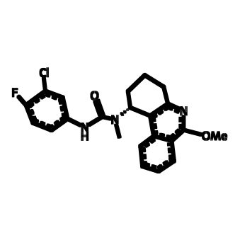 COc1nc2c(c3ccccc13)[C@H](N(C)C(=O)Nc1ccc(F)c(Cl)c1)CCC2